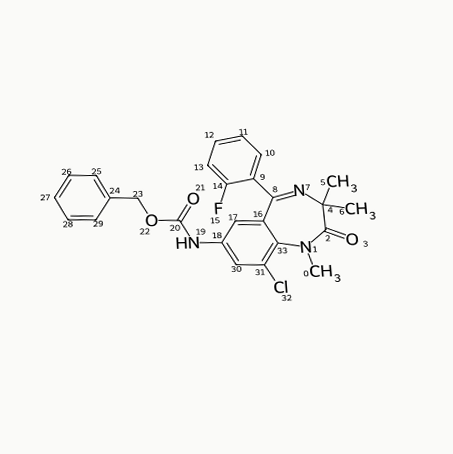 CN1C(=O)C(C)(C)N=C(c2ccccc2F)c2cc(NC(=O)OCc3ccccc3)cc(Cl)c21